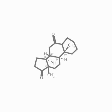 C[C@]12CCCCC1C(=O)C[C@@H]1[C@@H]2CC[C@]2(C)C(=O)CC[C@@H]12